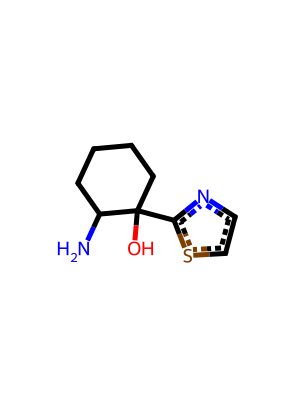 NC1CCCCC1(O)c1nccs1